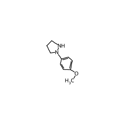 COc1ccc(N2CCCN2)cc1